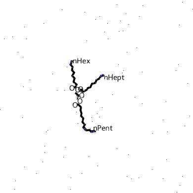 CCCCC/C=C\C/C=C\CCCCCCCC(=O)OC[C@@H](COC(=O)CCCCCCC/C=C\CCCCCC)OC(=O)CCCCCCC/C=C\CCCCCCC